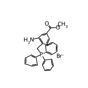 COC(=O)c1ccc(C[P+](c2ccccc2)(c2ccccc2)c2ccccc2)c(N)c1.[Br-]